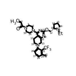 C=CC(=O)N1CCN(c2nc(OC[C@@H]3CCCN3CC)nc3c2CCN(c2cccc(F)c2C(F)(F)F)C3)CC1